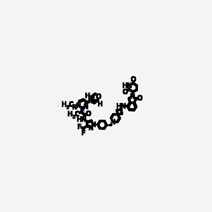 C=NN1C=CC(N2C[C@H]3C[C@@H]2CO3)=N/C1=C(/C)C(=O)Nc1cn([C@H]2CC[C@H](CN3CCC4(CC3)CC(Nc3cccc5c3CN(C3CCC(=O)NC3=O)C5=O)C4)CC2)nc1C(F)F